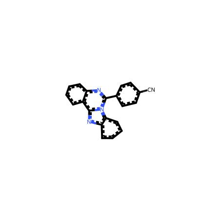 N#Cc1ccc(-c2nc3ccccc3c3nc4ccccc4n23)cc1